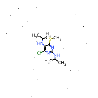 CSc1nc(NC(C)C)nc(Cl)c1NC(C)C